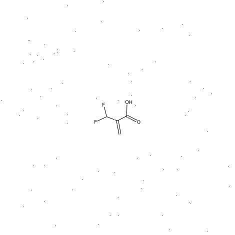 C=C(C(=O)O)C(F)F